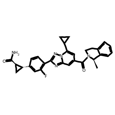 C[C@@H]1c2ccccc2CCN1C(=O)c1cc(C2CC2)n2nc(-c3ccc([C@@H]4C[C@H]4C(N)=O)cc3F)nc2c1